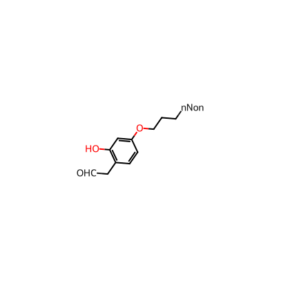 CCCCCCCCCCCCOc1ccc(CC=O)c(O)c1